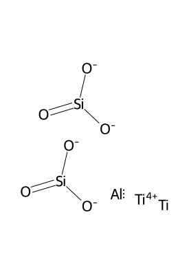 O=[Si]([O-])[O-].O=[Si]([O-])[O-].[Al].[Ti+4].[Ti]